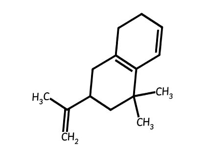 C=C(C)C1CC2=C(C=CCC2)C(C)(C)C1